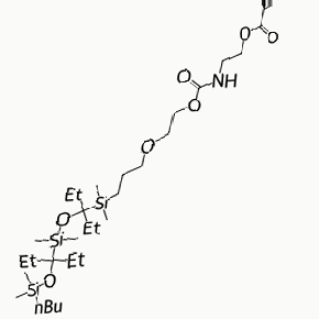 C=C(C)C(=O)OCCNC(=O)OCCOCCC[Si](C)(C)C(CC)(CC)O[Si](C)(C)C(CC)(CC)O[Si](C)(C)CCCC